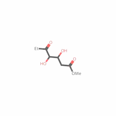 CCC(=O)C(O)C(O)CC(=O)OC